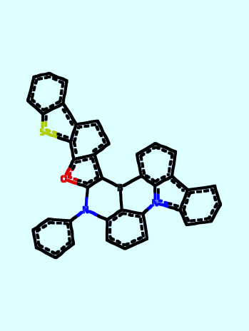 c1ccc(N2c3cccc4c3B(c3c2oc2c3ccc3c5ccccc5sc32)c2cccc3c5ccccc5n-4c23)cc1